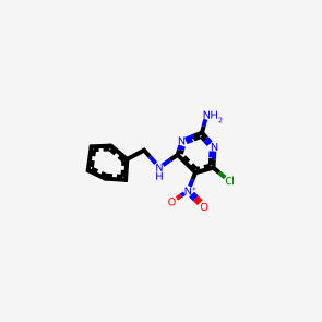 Nc1nc(Cl)c([N+](=O)[O-])c(NCc2ccccc2)n1